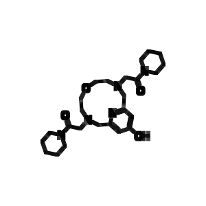 O=C(CN1CCOCCN(CC(=O)N2CCCCC2)Cc2cc(O)cc(n2)C1)N1CCCCC1